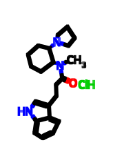 CN(C(=O)CCc1c[nH]c2ccccc12)[C@@H]1CCCC[C@H]1N1CCCC1.Cl